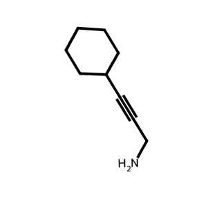 NCC#CC1CCCCC1